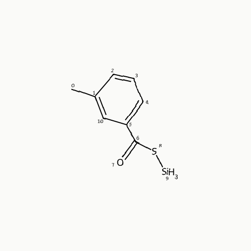 Cc1cccc(C(=O)S[SiH3])c1